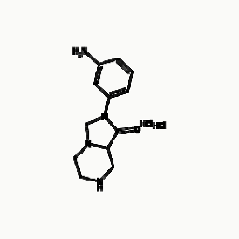 Cl.Cl.Nc1cccc(N2CN3CCNCC3C2=O)c1